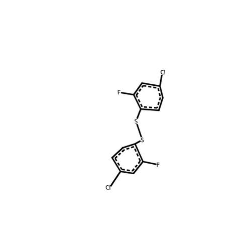 Fc1cc(Cl)ccc1SSc1ccc(Cl)cc1F